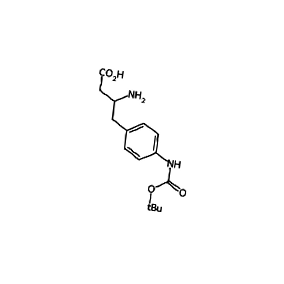 CC(C)(C)OC(=O)Nc1ccc(CC(N)CC(=O)O)cc1